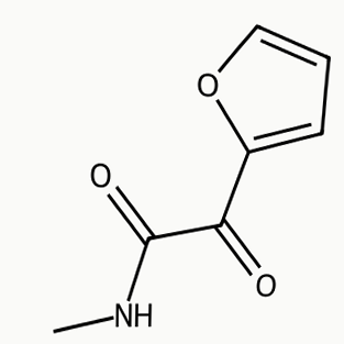 CNC(=O)C(=O)c1ccco1